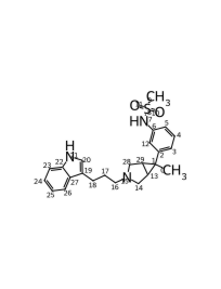 CC1(c2cccc(NS(C)(=O)=O)c2)C2CN(CCCc3c[nH]c4ccccc34)CC21